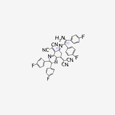 N#CC(C#N)=C1C/C(=N\C(=C(/N)c2ccc(F)cc2)c2ccc(F)cc2)C(=C(C#N)C#N)c2nc(-c3ccc(F)cc3)c(-c3ccc(F)cc3)nc21